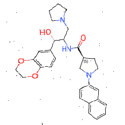 O=C(NC(CN1CCCC1)C(O)c1ccc2c(c1)OCCO2)[C@H]1CCN(c2ccc3ccccc3c2)C1